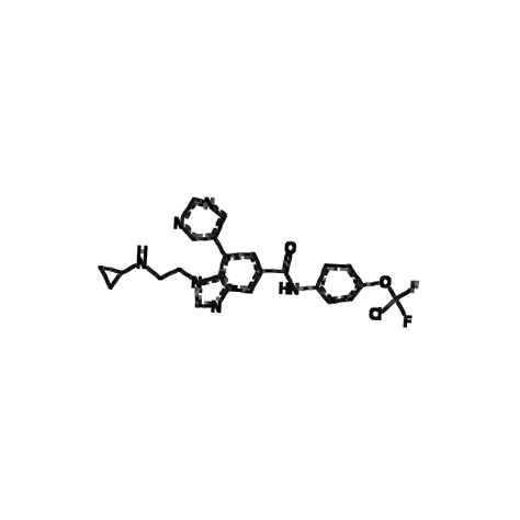 O=C(Nc1ccc(OC(F)(F)Cl)cc1)c1cc(-c2cncnc2)c2c(c1)ncn2CCNC1CC1